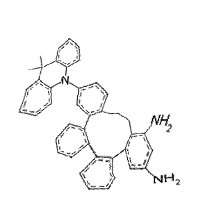 CC1(C)c2ccccc2N(c2ccc3c(c2)-c2ccccc2-c2ccccc2-c2cc(N)cc(N)c2CC3)c2ccccc21